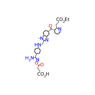 CCOC(=O)CCc1ncccc1C(=O)c1ccc2c(c1)nc(CNc1ccc(C(N)=NOC(=O)CCC(=O)O)cc1)n2C